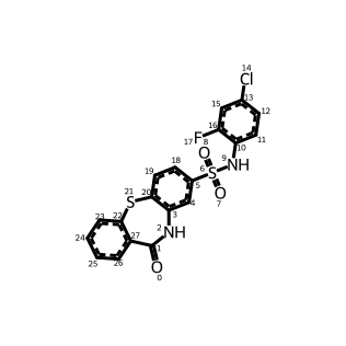 O=C1Nc2cc(S(=O)(=O)Nc3ccc(Cl)cc3F)ccc2Sc2ccccc21